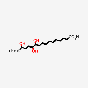 CCCCCC(O)CC=C(O)C(O)CC=CCC=CCCCC(=O)O